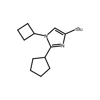 CC(C)(C)c1cn(C2CCC2)c(C2CCCC2)n1